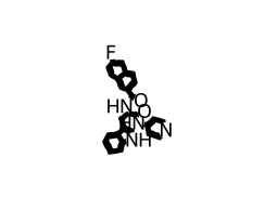 O=C(NC(Cc1c[nH]c2ccccc12)C(=O)Nc1ccncc1)c1ccc2cc(F)ccc2c1